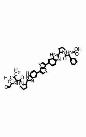 CC(C)[C@@H](NC(=O)C=O)C(=O)N1CCCC1c1nc2cc(-c3csc4c(-c5ccc6nc(C7CCCN7C(=O)[C@H](NC(=O)O)c7ccccc7)[nH]c6c5)csc34)ccc2[nH]1